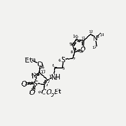 CCOC(=O)C1=C(NCCSCc2ccc(CN(C)C)o2)C(OCC)=NS1(=O)=O